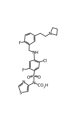 O=C(O)N(c1cscn1)S(=O)(=O)c1cc(Cl)c(NCc2cc(CCN3CCC3)ccc2F)cc1F